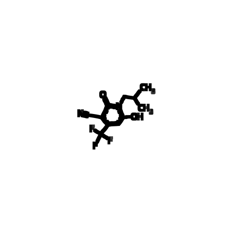 CC(C)Cn1c(O)cc(C(F)(F)F)c(C#N)c1=O